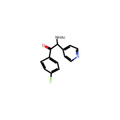 CC(=O)NC(C(=O)c1ccc(F)cc1)c1ccncc1